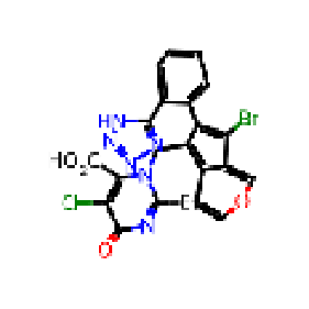 CCc1nc(=O)c(Cl)c(C(=O)O)n1Cc1c2ccocc-2c(Br)c1-c1ccccc1-c1nnn[nH]1